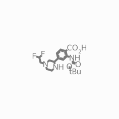 CC(C)(C)OC(=O)Nc1cc(C2CN(CC(F)F)CCN2)ccc1C(=O)O